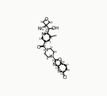 Cc1cc(C(=O)N2CCN(c3nc4nc(Cl)ccc4o3)CC2)cnc1C(O)C1(C#N)COC1